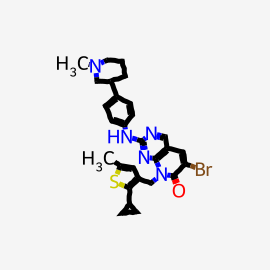 Cc1cc(Cn2c(=O)c(Br)cc3cnc(Nc4ccc(C5CCCN(C)C5)cc4)nc32)c(C2CC2)s1